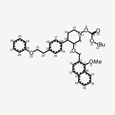 COc1c(COC2CN(OC(=O)OC(C)(C)C)CCC2c2ccc(CCOc3ccccc3)cc2)ccc2ccccc12